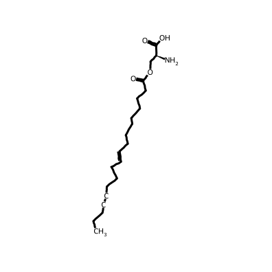 CCCCCCCCC=CCCCCCCCC(=O)OC[C@H](N)C(=O)O